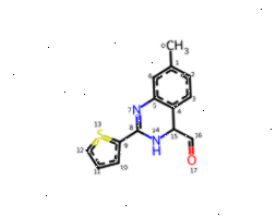 Cc1ccc2c(c1)N=C(c1cccs1)NC2C=O